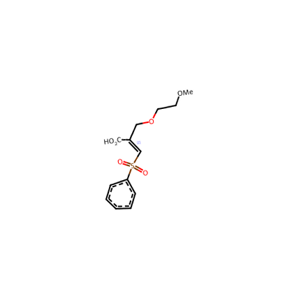 COCCOC/C(=C/S(=O)(=O)c1ccccc1)C(=O)O